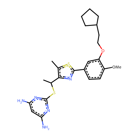 COc1ccc(-c2nc(C(C)Sc3nc(N)cc(N)n3)c(C)s2)cc1OCCC1CCCC1